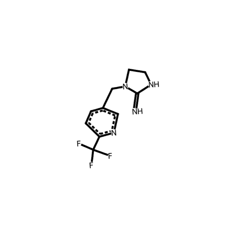 N=C1NCCN1Cc1ccc(C(F)(F)F)nc1